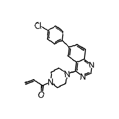 C=CC(=O)N1CCN(c2ncnc3ccc(-c4ccc(Cl)cc4)cc23)CC1